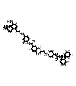 Cc1cc(CNCCc2ccc(O)c3[nH]c(=O)ccc23)ccc1NC(=O)c1ccc(C)c(N(C)C(=O)CCN2CCC(OC(=O)Nc3ccccc3-c3ccccc3)CC2)c1